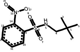 CC(C)(C)CNS(=O)(=O)c1ccccc1[N+](=O)[O-]